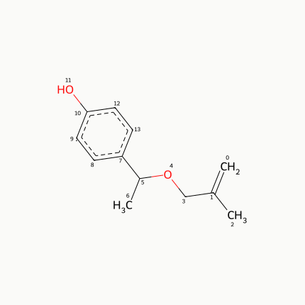 C=C(C)COC(C)c1c[c]c(O)cc1